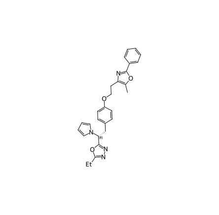 CCc1nnc([C@@H](Cc2ccc(OCCc3nc(-c4ccccc4)oc3C)cc2)n2cccc2)o1